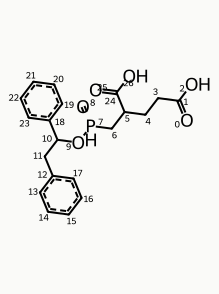 O=C(O)CCC(C[PH](=O)OC(Cc1ccccc1)c1ccccc1)C(=O)O